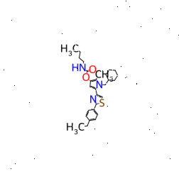 CCCCNC(=O)Oc1cc(-c2csc(-c3ccc(CC)cc3)n2)n(CC2CCCCC2)c1C